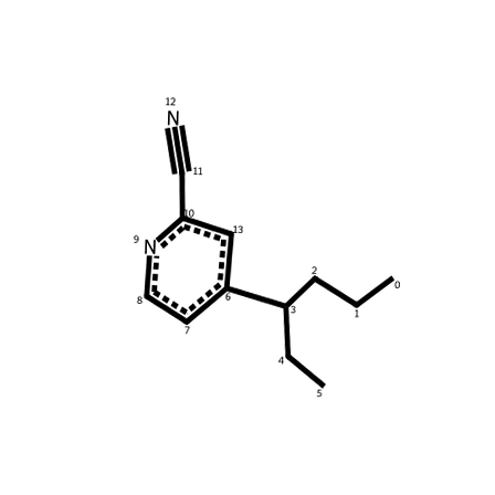 CCCC(CC)c1ccnc(C#N)c1